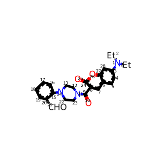 CCN(CC)c1ccc2cc(C(=O)N3CCN(c4ccccc4C=O)CC3)c(=O)oc2c1